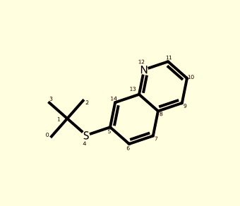 CC(C)(C)Sc1ccc2cccnc2c1